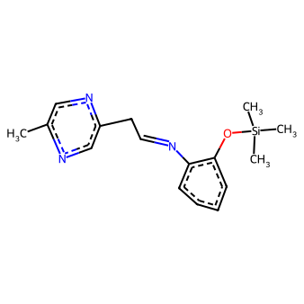 Cc1cnc(CC=Nc2ccccc2O[Si](C)(C)C)cn1